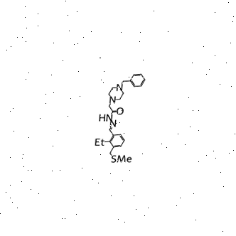 CCc1c(/C=N/NC(=O)CN2CCN(Cc3ccccc3)CC2)cccc1CSC